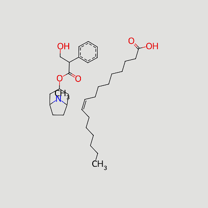 CCCCCC/C=C\CCCCCCCC(=O)O.CN1C2CCC1CC(OC(=O)C(CO)c1ccccc1)C2